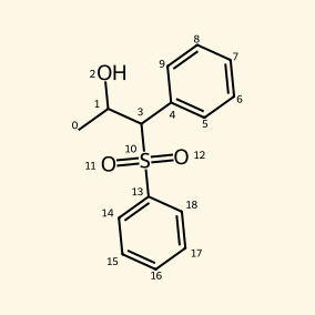 CC(O)C(c1ccccc1)S(=O)(=O)c1ccccc1